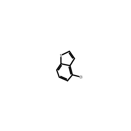 Clc1[c]ccc2sccc12